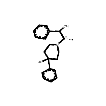 C[C@@H](C(O)c1ccccc1)N1CCC(O)(c2ccccc2)CC1